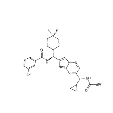 CCCC(=O)N[C@@H](c1cnn2cc([C@@H](NC(=O)c3cccc(C#N)c3)C3CCC(F)(F)CC3)nc2c1)C1CC1